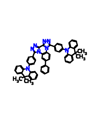 CC1(C)c2ccccc2N(c2ccc(-c3nnc4c5nnc(-c6ccc(N7c8ccccc8C(C)(C)c8ccccc87)cc6)n5c5cc(-c6ccccc6)ccc5n34)cc2)c2ccccc21